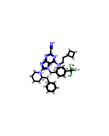 N#Cc1nc(NCCC2CCC2)c2c(n1)nc(N1CCCCC1Cc1ccccc1)n2Cc1ccc(C(F)(F)F)cc1